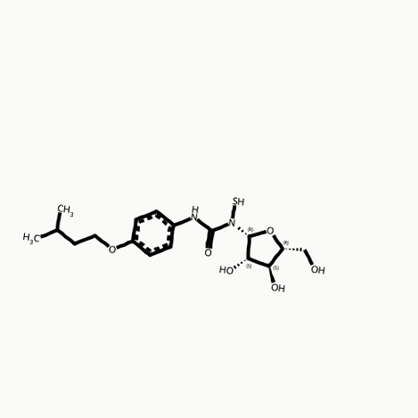 CC(C)CCOc1ccc(NC(=O)N(S)[C@@H]2O[C@H](CO)[C@@H](O)[C@@H]2O)cc1